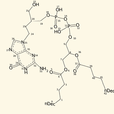 CCCCCCCCCCCCCC(=O)OCC(COP(=O)(O)OP(=O)(O)OC[C@@H](CO)CCn1cnc2c(=O)[nH]c(N)nc21)OC(=O)CCCCCCCCCCCCC